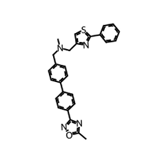 Cc1nc(-c2ccc(-c3ccc(CN(C)Cc4csc(-c5ccccc5)n4)cc3)cc2)no1